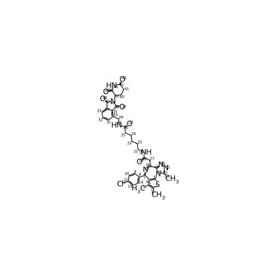 Cc1sc2c(c1C)C(c1ccc(Cl)cc1)=N[C@@H](CC(=O)NCCCCCC(=O)NCc1cccc3c1C(=O)N(C1CCC(=O)NC1=O)C3=O)c1nnc(C)n1-2